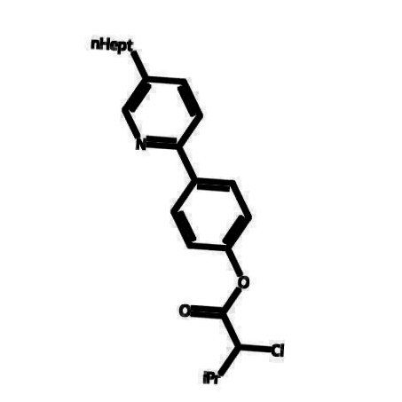 CCCCCCCc1ccc(-c2ccc(OC(=O)C(Cl)C(C)C)cc2)nc1